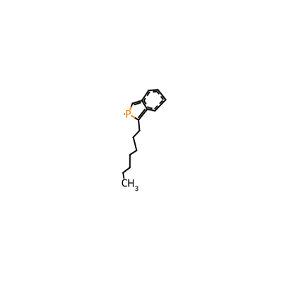 CCCCCCCC1=c2ccccc2=C[P]1